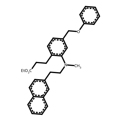 CCOC(=O)CCc1ccc(COc2ccccc2)cc1N(C)CCc1ccc2ccccc2c1